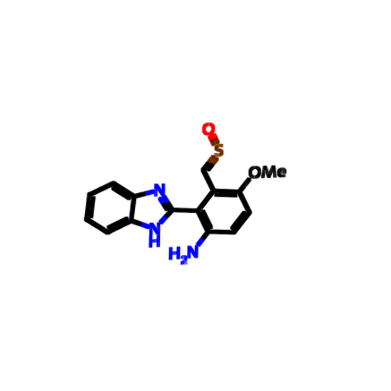 COc1ccc(N)c(-c2nc3ccccc3[nH]2)c1C=S=O